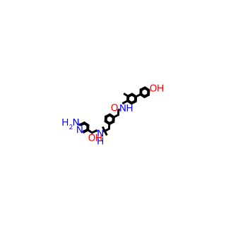 Cc1cc(-c2ccc(O)cc2)ccc1CNC(=O)Cc1cccc(CC(C)(C)NC[C@H](O)c2ccc(N)nc2)c1